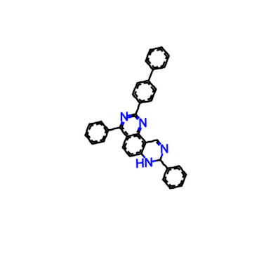 C1=NC(c2ccccc2)Nc2ccc3c(-c4ccccc4)nc(-c4ccc(-c5ccccc5)cc4)nc3c21